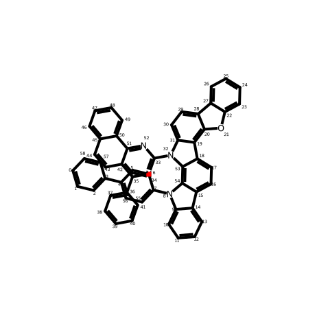 c1ccc(-c2ccc(-n3c4ccccc4c4ccc5c6c7oc8ccccc8c7ccc6n(-c6nc(-c7ccccc7)c7ccc8ccccc8c7n6)c5c43)cc2)cc1